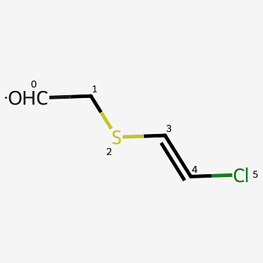 O=[C]CS/C=C/Cl